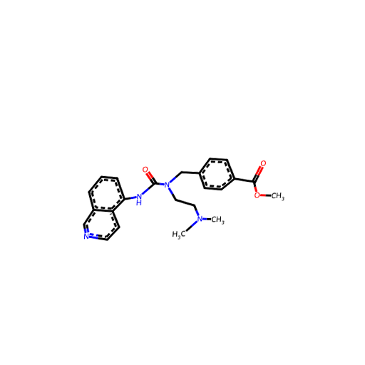 COC(=O)c1ccc(CN(CCN(C)C)C(=O)Nc2cccc3cnccc23)cc1